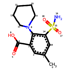 Cc1cc(C(=O)O)c(N2CCCCC2)c(S(N)(=O)=O)c1